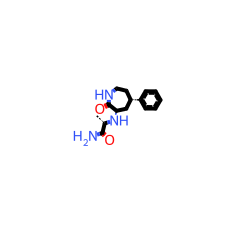 C[C@H](N[C@H]1C[C@@H](c2ccccc2)CCNC1=O)C(N)=O